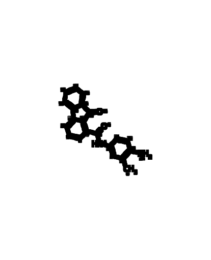 Cc1cc(NC(=O)c2cccc3c2C(=O)c2ccccc2-3)ccc1N